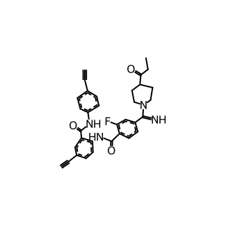 C#Cc1ccc(NC(=O)c2cc(C#C)ccc2NC(=O)c2ccc(C(=N)N3CCC(C(=O)CC)CC3)cc2F)cc1